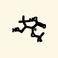 C[SiH](C)O[C@H](C(=O)O)C(CO)C(C)(C)C